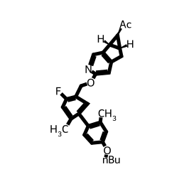 CCCCOc1ccc(-c2cc(COc3cc4c(cn3)[C@H]3[C@@H](C4)[C@@H]3C(C)=O)c(F)cc2C)c(C)c1